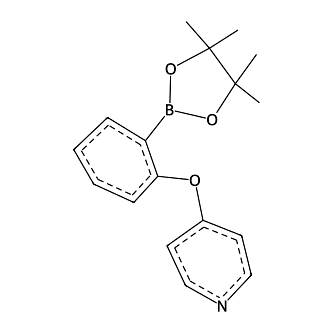 CC1(C)OB(c2ccccc2Oc2ccncc2)OC1(C)C